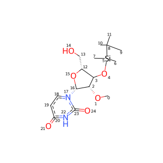 CO[C@H]1C(O[Si](C)(C)C(C)(C)C)[C@@H](CO)O[C@H]1n1ccc(=O)[nH]c1=O